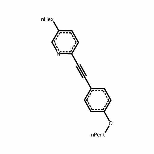 CCCCCCc1ccc(C#Cc2ccc(OCCCCC)cc2)nc1